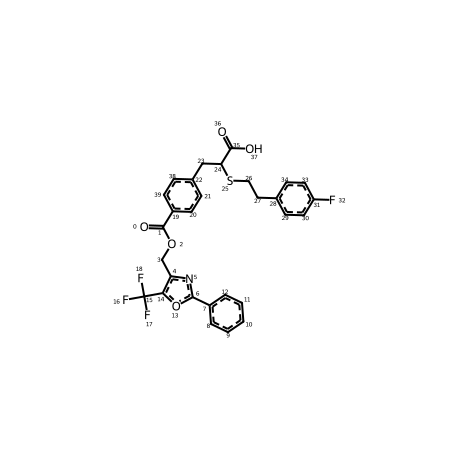 O=C(OCc1nc(-c2ccccc2)oc1C(F)(F)F)c1ccc(CC(SCCc2ccc(F)cc2)C(=O)O)cc1